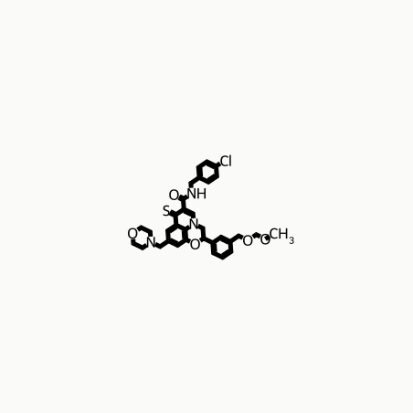 COCOCc1cccc(C2Cn3cc(C(=O)NCc4ccc(Cl)cc4)c(=S)c4cc(CN5CCOCC5)cc(c43)O2)c1